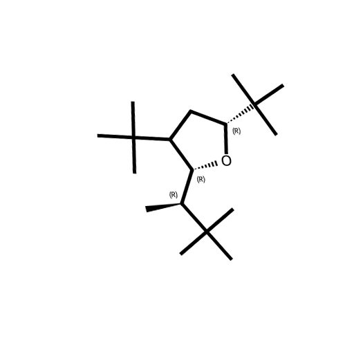 C[C@@H]([C@H]1O[C@@H](C(C)(C)C)CC1C(C)(C)C)C(C)(C)C